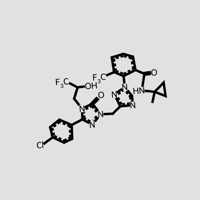 CC1(NC(=O)c2cccc(C(F)(F)F)c2-n2cnc(Cn3nc(-c4ccc(Cl)cc4)n(CC(O)C(F)(F)F)c3=O)n2)CC1